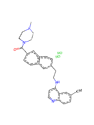 CN1CCN(C(=O)c2ccc3cc(CCNc4ccnc5ccc(C#N)cc45)ccc3c2)CC1.Cl.Cl